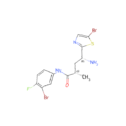 C[C@@H](C[C@@H](N)c1ncc(Br)s1)C(=O)Nc1ccc(F)c(Br)c1